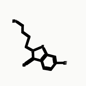 O=c1c2ccc(Cl)cc2sn1CCCCBr